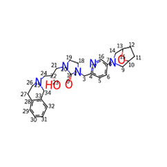 O=C1N(Cc2ccc(N3CC4CCC(C3)O4)cn2)CCN1C[C@H](O)CN1CCc2ccccc2C1